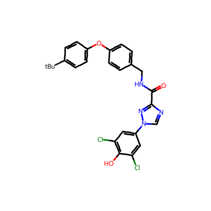 CC(C)(C)c1ccc(Oc2ccc(CNC(=O)c3ncn(-c4cc(Cl)c(O)c(Cl)c4)n3)cc2)cc1